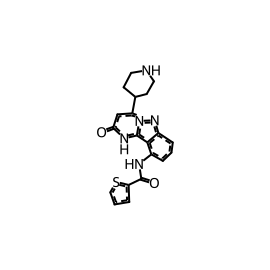 O=C(Nc1cccc2nn3c(C4CCNCC4)cc(=O)[nH]c3c12)c1cccs1